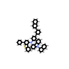 c1ccc(-c2ccc(N(c3ccc(-c4cccc(-c5ccc6ccccc6c5)c4)cc3)c3cccc4c3c3ccccc3n4-c3cccc4ccccc34)c3c2sc2ccccc23)cc1